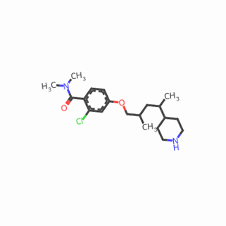 CC(COc1ccc(C(=O)N(C)C)c(Cl)c1)CC(C)C1CCNCC1